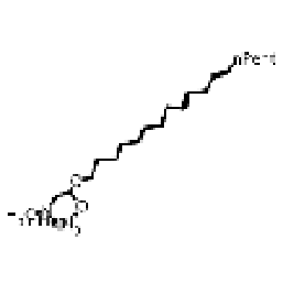 CCCCCC=CCC=CCCCCCCCCOC(CN(C)C)OCCCCCCC